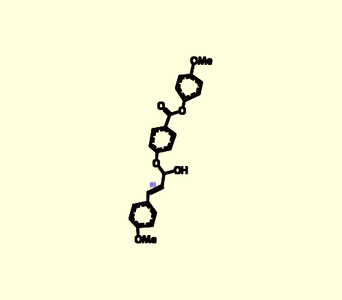 COc1ccc(/C=C/C(O)Oc2ccc(C(=O)Oc3ccc(OC)cc3)cc2)cc1